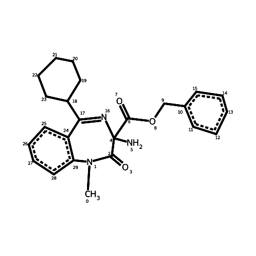 CN1C(=O)C(N)(C(=O)OCc2ccccc2)N=C(C2CCCCC2)c2ccccc21